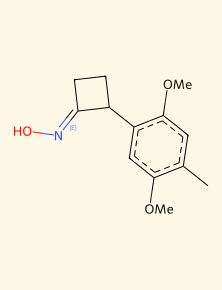 COc1cc(C2CC/C2=N\O)c(OC)cc1C